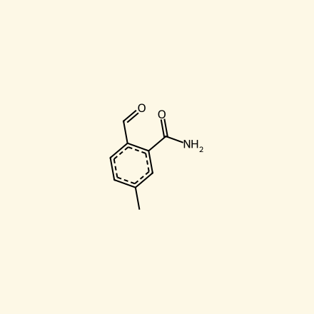 Cc1ccc(C=O)c(C(N)=O)c1